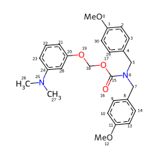 COc1ccc(CN(Cc2ccc(OC)cc2)C(=O)OCOc2cccc(N(C)C)c2)cc1